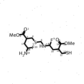 COC(=O)C(CSCNC(F)CC(CS)C(=O)OC)CC(N)F